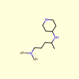 CCCN(CCC)CCCC(C)NC1CC[N]CC1